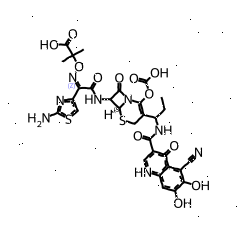 CCC(NC(=O)c1c[nH]c2cc(O)c(O)c(C#N)c2c1=O)C1=C(OC(=O)O)N2C(=O)C(NC(=O)/C(=N\OC(C)(C)C(=O)O)c3csc(N)n3)[C@@H]2SC1